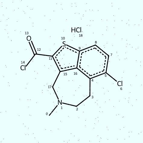 CN1CCc2c(Cl)ccc3sc(C(=O)Cl)c(c23)C1.Cl